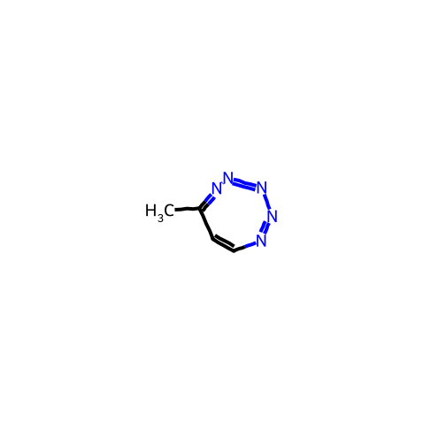 CC1=NN=NN=NC=C1